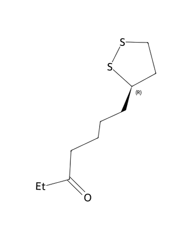 CCC(=O)CCCC[C@@H]1CCSS1